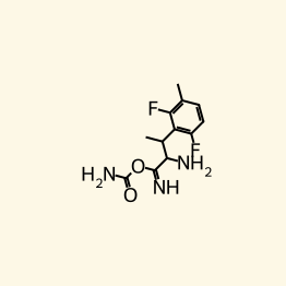 Cc1ccc(F)c(C(C)C(N)C(=N)OC(N)=O)c1F